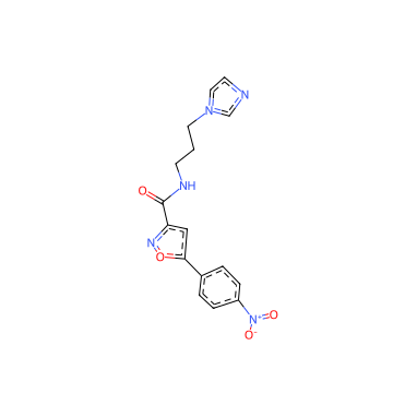 O=C(NCCCn1ccnc1)c1cc(-c2ccc([N+](=O)[O-])cc2)on1